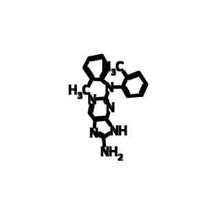 Cc1ccccc1N(c1ncc2nc(N)[nH]c2n1)c1ccccc1C